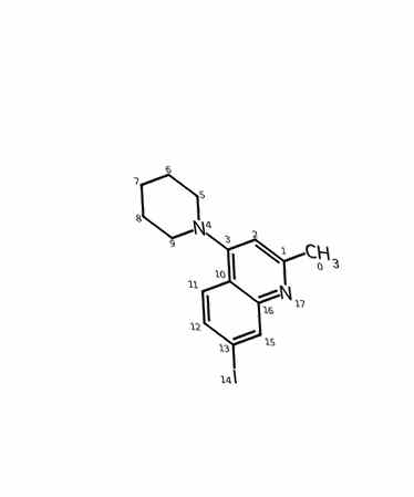 Cc1cc(N2CCCCC2)c2ccc(I)cc2n1